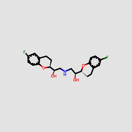 O[C@H](CNC[C@H](O)[C@H]1CCc2cc(F)ccc2O1)[C@@H]1CCc2cc(F)ccc2O1